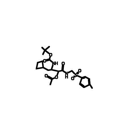 CC(=O)OC(C(=O)NCS(=O)(=O)c1ccc(C)cc1)C(CC1CCC1)NC(=O)OC(C)(C)C